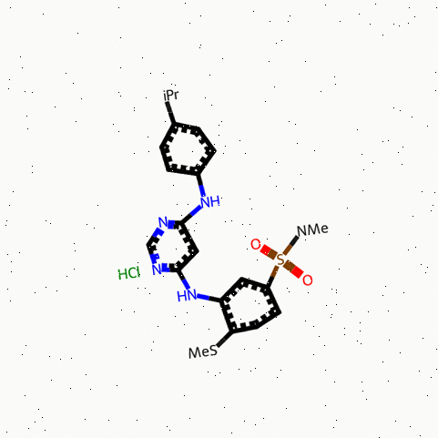 CNS(=O)(=O)c1ccc(SC)c(Nc2cc(Nc3ccc(C(C)C)cc3)ncn2)c1.Cl